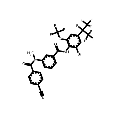 CN(C(=O)c1ccc(C#N)cc1)c1cccc(C(=O)Nc2c(Br)cc(C(F)(C(F)(F)F)C(F)(F)F)cc2OC(F)(F)F)c1